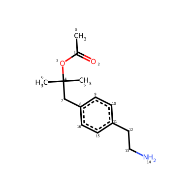 CC(=O)OC(C)(C)Cc1ccc(CCN)cc1